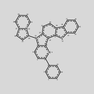 c1ccc(-c2ccc3c(n2)c2c4sc5ccccc5c4ccc2n3-c2ccc3ccccn23)cc1